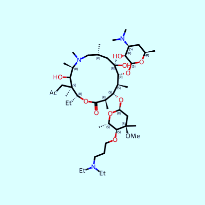 CC[C@H]1OC(=O)[C@H](C)[C@@H](O[C@H]2C[C@@](C)(OC)[C@@H](OCCCN(CC)CC)[C@H](C)O2)[C@H](C)[C@@H](O[C@@H]2O[C@H](C)C[C@H](N(C)C)[C@H]2O)[C@](C)(O)C[C@@H](C)CN(C)[C@H](C)C(O)[C@]1(C)CC(C)=O